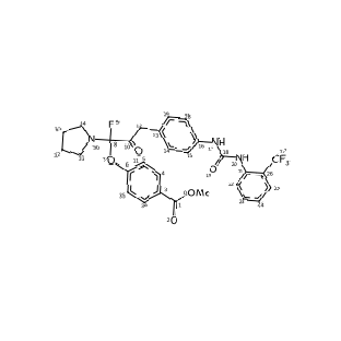 COC(=O)c1ccc(OC(F)(C(=O)Cc2ccc(NC(=O)Nc3ccccc3C(F)(F)F)cc2)N2CCCC2)cc1